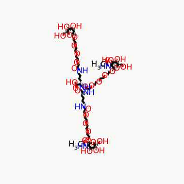 CC(=O)N[C@H]1[C@H](OCCOCCOCCOCC(=O)NCCCC[C@H](NC(=O)COCCOCCOCCO[C@@H]2O[C@H](CO)[C@H](O)[C@H](O)[C@H]2NC(C)=O)C(=O)N[C@@H](CCCCNC(=O)COCCOCCOCCO[C@H]2C[C@@H](O)[C@@H](O)[C@@H](CO)O2)C(=O)O)O[C@H](CO)[C@H](O)[C@@H]1O